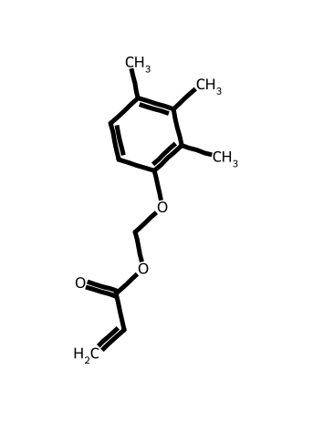 C=CC(=O)OCOc1ccc(C)c(C)c1C